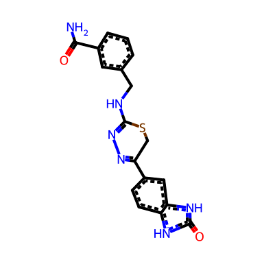 NC(=O)c1cccc(CNC2=NN=C(c3ccc4[nH]c(=O)[nH]c4c3)CS2)c1